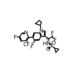 O=S(=O)(N[C@@H](c1cn(C2CCC2)c2cc(-c3ncc(F)cc3C(F)(F)F)c(F)cc12)C(F)F)C1CC1